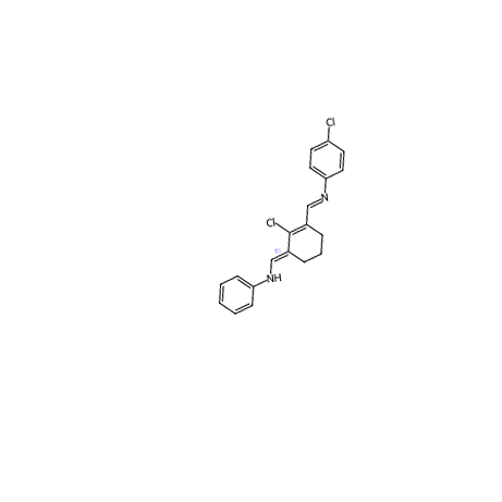 ClC1=C(C=Nc2ccc(Cl)cc2)CCC/C1=C\Nc1ccccc1